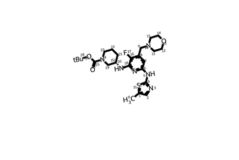 Cc1cnc(Nc2cc(CN3CCOCC3)c(F)c(N[C@H]3CCCN(C(=O)OC(C)(C)C)C3)n2)s1